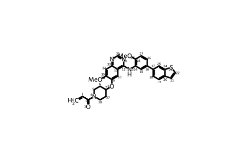 C=CC(=O)N1CCC(Oc2cc3c(Nc4cc(-c5ccc6ccsc6c5)ccc4OC)ncnc3cc2OC)CC1